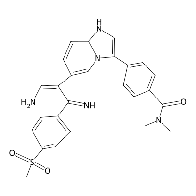 CN(C)C(=O)c1ccc(C2=CNC3C=CC(/C(=C/N)C(=N)c4ccc(S(C)(=O)=O)cc4)=CN23)cc1